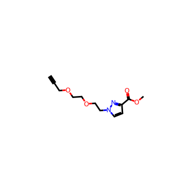 C#CCOCCOCCn1ccc(C(=O)OC)n1